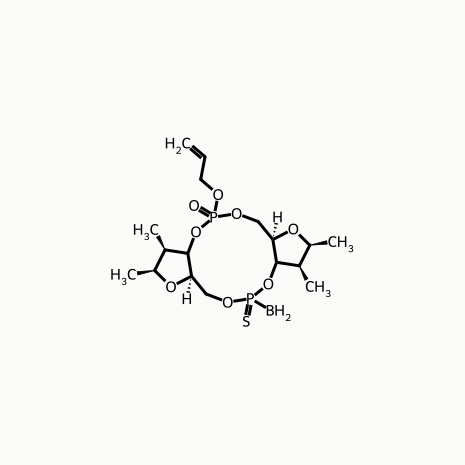 BP1(=S)OC[C@H]2O[C@@H](C)[C@@H](C)C2OP(=O)(OCC=C)OC[C@H]2O[C@@H](C)[C@@H](C)C2O1